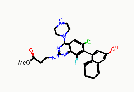 COC(=O)CCNc1nc(N2CCNCC2)c2cc(Cl)c(-c3cc(O)cc4ccccc34)c(F)c2n1